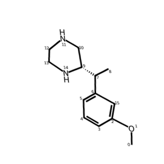 COc1cccc(C(C)[C@H]2CNCCN2)c1